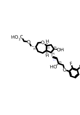 O=C(O)COC[C@H]1CC[C@@H]2[C@@H](/C=C/[C@@H](O)COc3cccc(F)c3F)[C@H](O)C[C@@H]2OC1